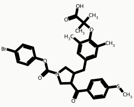 CSc1ccc(C(=O)C2CN(C(=O)Oc3ccc(Br)cc3)CC2Cc2cc(C)c(OC(C)(C)C(=O)O)c(C)c2)cc1